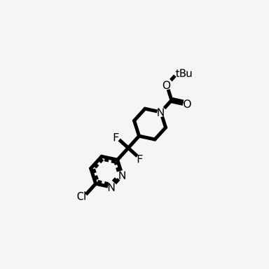 CC(C)(C)OC(=O)N1CCC(C(F)(F)c2ccc(Cl)nn2)CC1